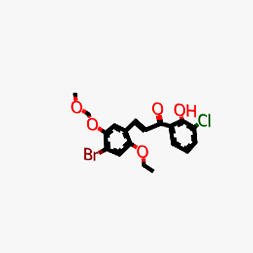 CCOc1cc(Br)c(OCOC)cc1/C=C/C(=O)c1cccc(Cl)c1O